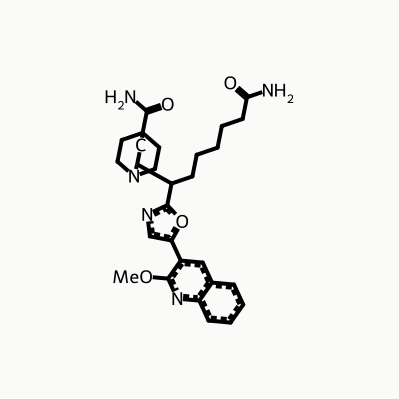 COc1nc2ccccc2cc1-c1cnc(C(CCCCCC(N)=O)C2CC3(C(N)=O)CCN2CC3)o1